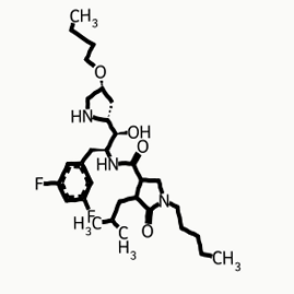 CCCCCN1CC(C(=O)N[C@@H](Cc2cc(F)cc(F)c2)[C@H](O)[C@H]2C[C@@H](OCCCC)CN2)C(CC(C)C)C1=O